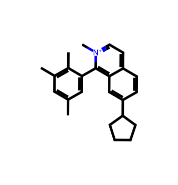 Cc1cc(C)c(C)c(-c2c3cc(C4CCCC4)ccc3cc[n+]2C)c1